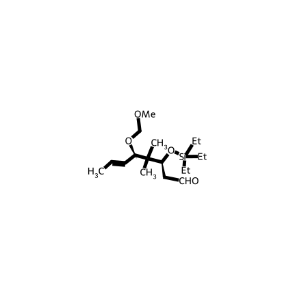 C/C=C/[C@@H](OCOC)C(C)(C)[C@H](CC=O)O[Si](CC)(CC)CC